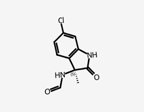 C[C@@]1(NC=O)C(=O)Nc2cc(Cl)ccc21